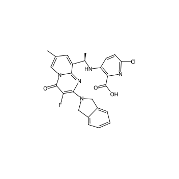 Cc1cc([C@@H](C)Nc2ccc(Cl)nc2C(=O)O)c2nc(N3Cc4ccccc4C3)c(F)c(=O)n2c1